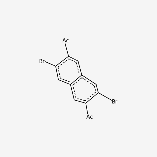 CC(=O)c1cc2cc(Br)c(C(C)=O)cc2cc1Br